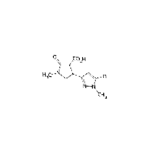 CN1CC(c2cc(Cl)n(C)n2)C(C(=O)O)C1=O